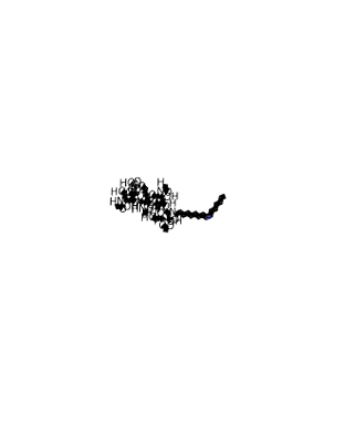 CCCCCC/C=C\CCCCCCCC(=O)N[C@@H](CO)C(OC1C(CO)OC(OC2C(CO)OC(OC3C(COS(=O)(=O)O)OC(O)C(NC(C)=O)C3O)C(NC(C)=O)C2O)C(NC(C)=O)C1O)OC(COC(C)=O)[C@H](C)O